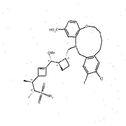 CO[C@@H](C1=CC([C@H](C)[C@@H](C)S(N)(=O)=O)C1)[C@@H]1CC[C@H]1CN1Cc2cc(F)c(Cl)cc2CCCCOc2ccc(C(=O)O)cc21